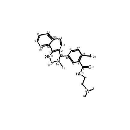 CN(C)CCNC(=O)c1cc(C2c3ccc4cccnc4c3NSN2C)ccc1F